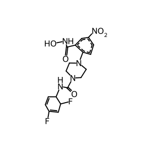 O=C(NO)c1cc([N+](=O)[O-])ccc1N1CCN(C(=O)NC2C=CC(F)=CC2F)CC1